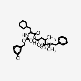 CC(C[C@H](NC(=O)[C@H](CC1CCCCC1)NC(=O)OCc1cccc(Cl)c1)C(=O)O)C(=O)N(C)CCc1ccccc1